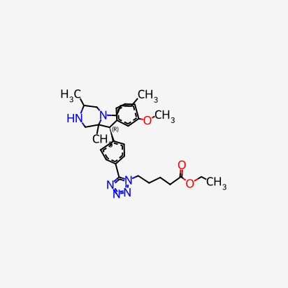 CCCCN1CC(C)NCC1(C)[C@H](c1ccc(-c2nnnn2CCCCC(=O)OCC)cc1)c1cccc(OC)c1